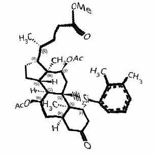 COC(=O)CC[C@@H](C)[C@H]1CC[C@H]2[C@@H]3[C@H](OC(C)=O)C[C@@H]4CC(=O)C[C@@H]([SiH2]c5cccc(C)c5C)[C@]4(C)[C@H]3C[C@H](OC(C)=O)[C@]12C